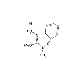 CN=C(OC)N(C)Cc1ccccc1.I